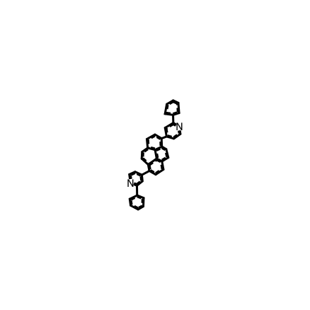 c1ccc(-c2cc(-c3ccc4ccc5c(-c6ccnc(-c7ccccc7)c6)ccc6ccc3c4c65)ccn2)cc1